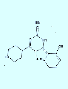 Br.O=c1cc(C2CCNCC2)n2nc3cccc(O)c3c2[nH]1